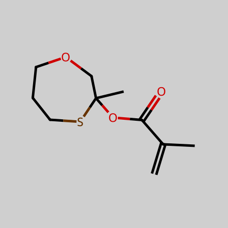 C=C(C)C(=O)OC1(C)COCCCS1